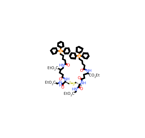 CCOC(=O)CNC(=O)[C@H](CSSC[C@H](NC(=O)CCC(NC(=O)CCCC[P+](c1ccccc1)(c1ccccc1)c1ccccc1)C(=O)OCC)C(=O)NCC(=O)OCC)NC(=O)CCC(CNC(=O)CCCC[P+](c1ccccc1)(c1ccccc1)c1ccccc1)C(=O)OCC